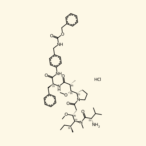 CC[C@H](C)[C@@H]([C@@H](CC(=O)N1CCC[C@H]1[C@H](OC)[C@@H](C)C(=O)N[C@@H](Cc1ccccc1)C(=O)Nc1ccc(CNC(=O)OCc2ccccc2)cc1)OC)N(C)C(=O)[C@@H](N)C(C)C.Cl